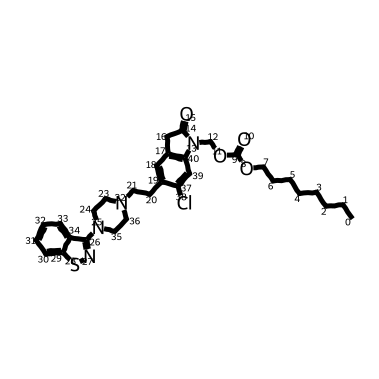 CCCCCCCCOC(=O)OCN1C(=O)Cc2cc(CCN3CCN(c4nsc5ccccc45)CC3)c(Cl)cc21